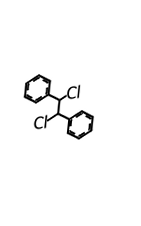 ClC(c1ccccc1)C(Cl)c1ccccc1